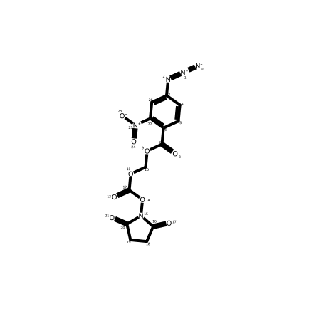 [N-]=[N+]=Nc1ccc(C(=O)OCOC(=O)ON2C(=O)CCC2=O)c([N+](=O)[O-])c1